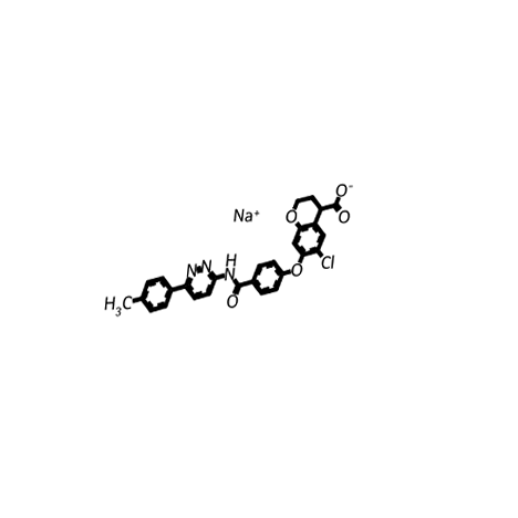 Cc1ccc(-c2ccc(NC(=O)c3ccc(Oc4cc5c(cc4Cl)C(C(=O)[O-])CCO5)cc3)nn2)cc1.[Na+]